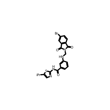 CC(C)c1cnc(NC(=O)c2cccc(NCN3C(=O)c4ccc(Br)cc4C3=O)c2)s1